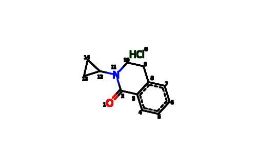 Cl.O=C1c2ccccc2CCN1C1CC1